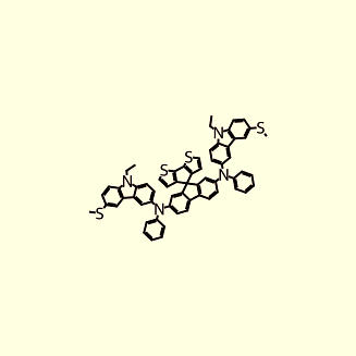 CCn1c2ccc(SC)cc2c2cc(N(c3ccccc3)c3ccc4c(c3)C3(c5cc(N(c6ccccc6)c6ccc7c(c6)c6cc(SC)ccc6n7CC)ccc5-4)c4ccsc4-c4sccc43)ccc21